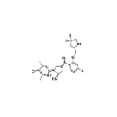 CC1=N/C(=C2\CN(C(=O)c3ccc(F)cc3OCC3CC(F)(F)CN3)CC2=N)NC(C)=C1Cl